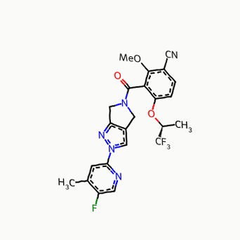 COc1c(C#N)ccc(O[C@@H](C)C(F)(F)F)c1C(=O)N1Cc2cn(-c3cc(C)c(F)cn3)nc2C1